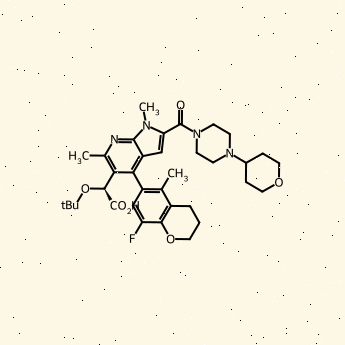 Cc1nc2c(cc(C(=O)N3CCN(C4CCOCC4)CC3)n2C)c(-c2cc(F)c3c(c2C)CCCO3)c1[C@H](OC(C)(C)C)C(=O)O